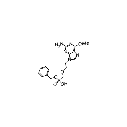 COc1nc(N)nc2c1ncn2CCOCP(=O)(O)OCc1ccccc1